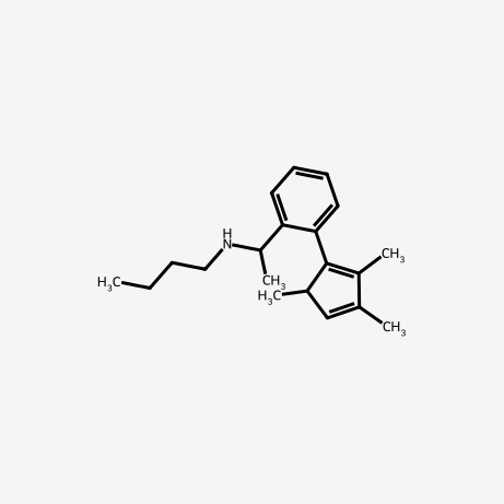 CCCCNC(C)c1ccccc1C1=C(C)C(C)=CC1C